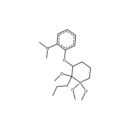 CCCC1(OC)C(Oc2ccccc2N(C)C)CCC[Si]1(OC)OC